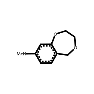 CNc1ccc2c(c1)OCCOC2